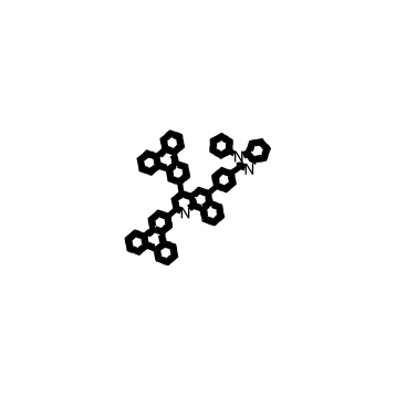 c1ccc(-n2c(-c3ccc(-c4cc5c(-c6ccc7c8ccccc8c8ccccc8c7c6)cc(-c6ccc7c8ccccc8c8ccccc8c7c6)nc5c5ccccc45)cc3)nc3ccccc32)cc1